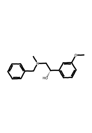 COc1cccc([C@H](O)CN(C)Cc2ccccc2)c1